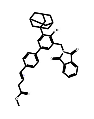 COC(=O)C/C=C/c1ccc(-c2cc(CN3C(=O)c4ccccc4C3=O)c(O)c(C34CC5CC(CC(C5)C3)C4)c2)cc1